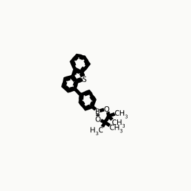 CC1(C)OB(c2ccc(-c3cccc4c3sc3ccccc34)cc2)OC1(C)C